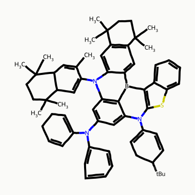 CC1=CC2C(C=C1N1c3cc4c(cc3B3c5c1cc(N(C1=CCCC=C1)c1ccccc1)cc5N(C1=CCC(C(C)(C)C)C=C1)c1sc5ccccc5c13)C(C)(C)CCC4(C)C)C(C)(C)CCC2(C)C